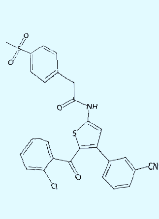 CS(=O)(=O)c1ccc(CC(=O)Nc2cc(-c3cccc(C#N)c3)c(C(=O)c3ccccc3Cl)s2)cc1